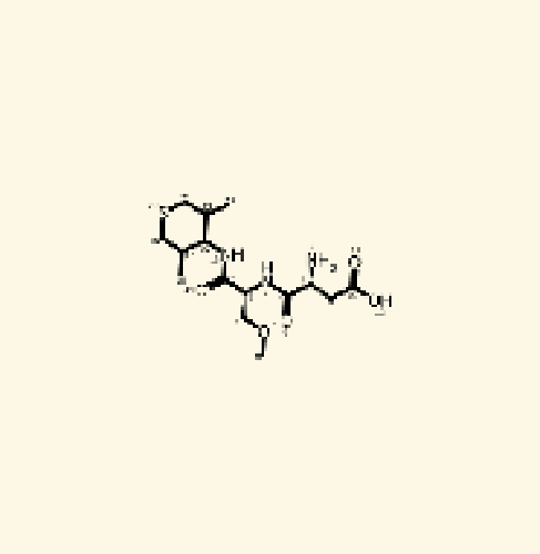 COC[C@H](NC(=O)[C@@H](N)CC(=O)O)C(=O)NC1C(C)CSCC1C